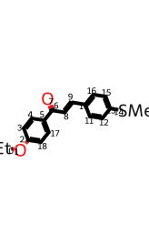 CCOc1ccc(C(=O)C=Cc2ccc(SC)cc2)cc1